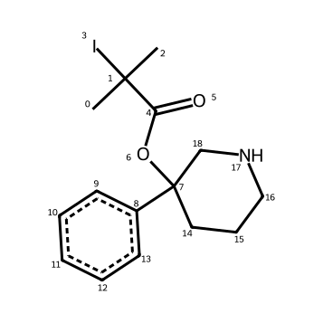 CC(C)(I)C(=O)OC1(c2ccccc2)CCCNC1